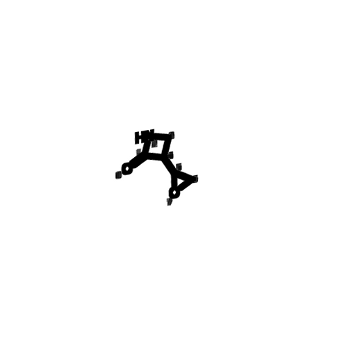 O=C1NCC1C1CO1